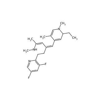 CCC1C=C(/C=C(\C=C(\C)NC)CCc2ncc(F)cc2F)C(C)=CN1C